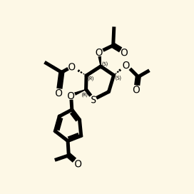 CC(=O)O[C@@H]1[C@@H](OC(C)=O)[C@H](OC(C)=O)CS[C@H]1Oc1ccc(C(C)=O)cc1